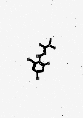 FC(=NNc1c(Cl)cc(Cl)cc1Cl)C(F)F